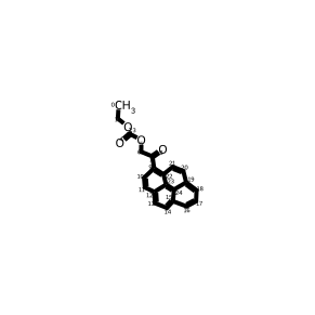 CCOC(=O)OCC(=O)c1ccc2ccc3cccc4ccc1c2c34